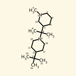 CN1CCCC(C(C)(C)N2CCC(C(C)(C)C)CC2)C1